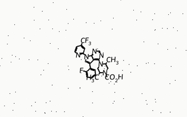 CC1CN(c2ncnc3c2c(-c2ccccc2F)cn3-c2cc(C(F)(F)F)ccn2)C(C)CN1C(=O)O